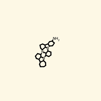 NC1CCC2B3C4CCCC5B6C7CCCCCC7C7CCCC(C67)N(C6CCCC(C2C1)C36)C54